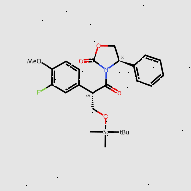 COc1ccc([C@@H](CO[Si](C)(C)C(C)(C)C)C(=O)N2C(=O)OC[C@H]2c2ccccc2)cc1F